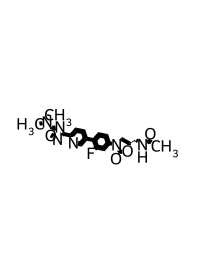 CC(=O)NC[C@H]1CN(c2ccc(-c3ccc(-c4noc(N(C)C)n4)nc3)c(F)c2)C(=O)O1